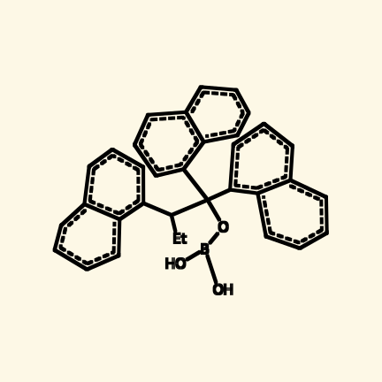 CCC(c1cccc2ccccc12)C(OB(O)O)(c1cccc2ccccc12)c1cccc2ccccc12